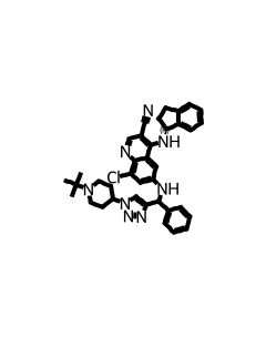 CC(C)(C)N1CCC(n2cc(C(Nc3cc(Cl)c4ncc(C#N)c(N[C@@H]5CCc6ccccc65)c4c3)c3ccccc3)nn2)CC1